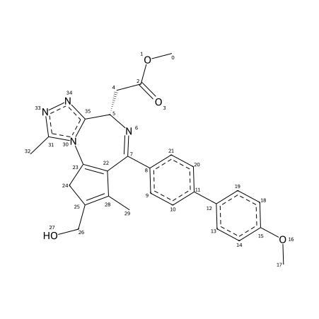 COC(=O)C[C@@H]1N=C(c2ccc(-c3ccc(OC)cc3)cc2)C2=C(CC(CO)=C2C)n2c(C)nnc21